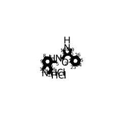 Cl.Cl.O=C(NCc1cccc2cnccc12)C1CNCC1c1ccccc1